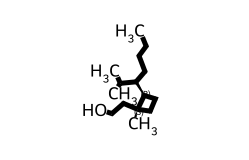 CCCCC(C(C)C)[C@H]1CC[C@@]1(C)CCO